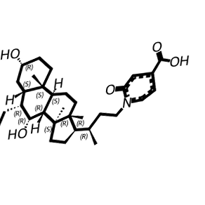 CC[C@H]1[C@@H](O)[C@@H]2[C@H](CC[C@]3(C)[C@@H]([C@H](C)CCn4ccc(C(=O)O)cc4=O)CC[C@@]23C)[C@@]2(C)CC[C@@H](O)C[C@@H]12